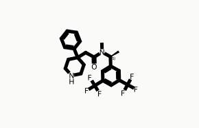 C[C@@H](c1cc(C(F)(F)F)cc(C(F)(F)F)c1)N(C)C(=O)CC1(c2ccccc2)CCNCC1